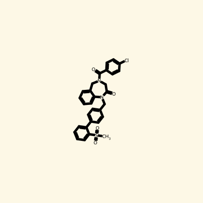 CS(=O)(=O)c1ccccc1-c1ccc(CN2C(=O)CN(C(=O)c3ccc(Cl)cc3)Cc3ccccc32)cc1